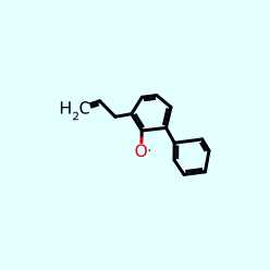 C=CCc1cccc(-c2ccccc2)c1[O]